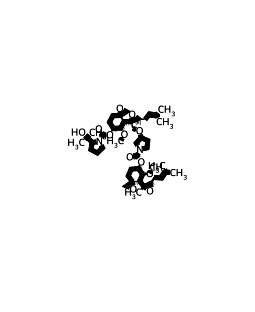 CO[C@@H]1[C@H](OC(=O)N2CCC(OC[C@]3([C@H]4[C@H](OC)[C@H](OC(=O)N5CCCC5C(C)(C)O)CCC45CO5)O[C@@H]3CC=C(C)C)C2)CCC2(CO2)[C@H]1[C@@]1(C)O[C@@H]1CC=C(C)C